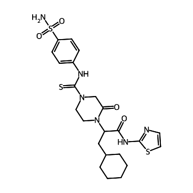 NS(=O)(=O)c1ccc(NC(=S)N2CCN(C(CC3CCCCC3)C(=O)Nc3nccs3)C(=O)C2)cc1